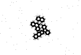 c1ccc2c(c1)-c1ccc(N(c3cccc4ccccc34)c3cc4ccccc4c4ccccc34)cc1C21Cc2cc3ccccc3cc2C1